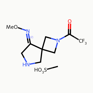 CO/N=C1\CNCC12CN(C(=O)C(F)(F)F)C2.CS(=O)(=O)O